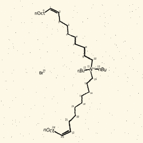 CCCCCCCC/C=C\CCCCCCCC[N+](CCCC)(CCCC)CCCCCCCC/C=C\CCCCCCCC.[Br-]